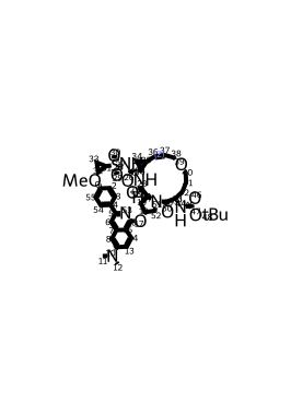 COc1ccc(-c2cc3cc(N(C)C)ccc3c(OC3C[C@H]4C(=O)N[C@]5(C(=O)NS(=O)(=O)C6CC6)CC5/C=C\COCCC[C@H](NC(=O)OC(C)(C)C)C(=O)N4C3)n2)cc1